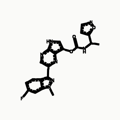 CC(NC(=O)Oc1c[nH]c2ncc(-c3nn(C)c4cc(F)ccc34)nc12)c1ccno1